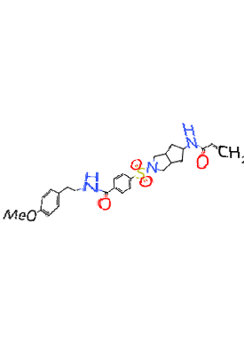 C=CC(=O)NC1CC2CN(S(=O)(=O)c3ccc(C(=O)NCCc4ccc(OC)cc4)cc3)CC2C1